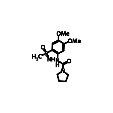 COc1cc(NC(=O)N2CCCC2)c(S(C)(=N)=O)cc1OC